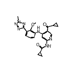 COc1c(Nc2cc(NC(=O)C3CC3)ncc2C(=O)C2CC2)cccc1-c1nnn(C)n1